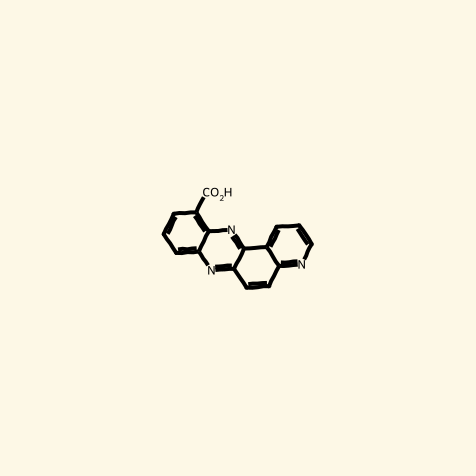 O=C(O)c1cccc2nc3ccc4ncccc4c3nc12